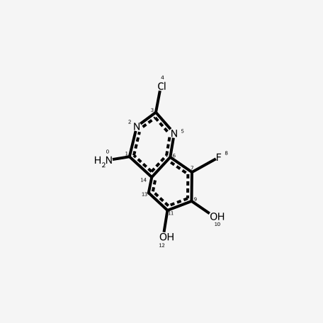 Nc1nc(Cl)nc2c(F)c(O)c(O)cc12